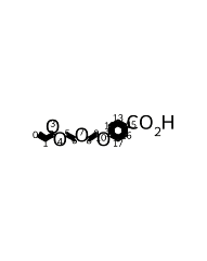 C=CC(=O)OCCOCCOc1ccc(C(=O)O)cc1